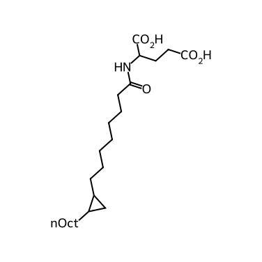 CCCCCCCCC1CC1CCCCCCCC(=O)NC(CCC(=O)O)C(=O)O